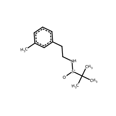 Cc1cccc(CCN[S+]([O-])C(C)(C)C)c1